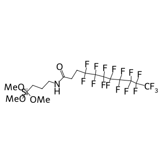 CO[Si](CCCNC(=O)CCC(F)(F)C(F)(F)C(F)(F)C(F)(F)C(F)(F)C(F)(F)C(F)(F)C(F)(F)F)(OC)OC